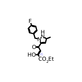 CCOC(=O)/C(O)=C/C(=O)C1=CC(C)NN1Cc1ccc(F)cc1